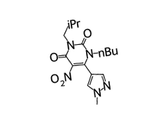 CCCCn1c(-c2cnn(C)c2)c([N+](=O)[O-])c(=O)n(CC(C)C)c1=O